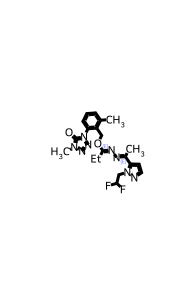 CC/C(=N\N=C(/C)c1ccnn1CC(F)F)OCc1c(C)cccc1-n1nnn(C)c1=O